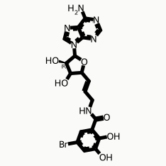 Nc1ncnc2c1ncn2C1OC(C=CCNC(=O)c2cc(Br)cc(O)c2O)C(O)[C@H]1O